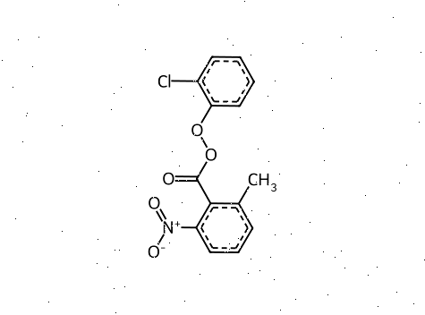 Cc1cccc([N+](=O)[O-])c1C(=O)OOc1ccccc1Cl